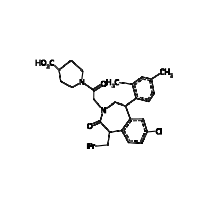 Cc1ccc(C2CN(CC(=O)N3CCC(C(=O)O)CC3)C(=O)C(CC(C)C)c3ccc(Cl)cc32)c(C)c1